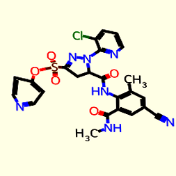 CNC(=O)c1cc(C#N)cc(C)c1NC(=O)C1CC(S(=O)(=O)Oc2ccncc2)=NN1c1ncccc1Cl